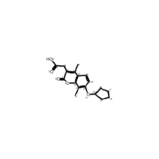 Cc1c(CC(=O)O)c(=O)oc2c(C)c(OC3CCCC3)ccc12